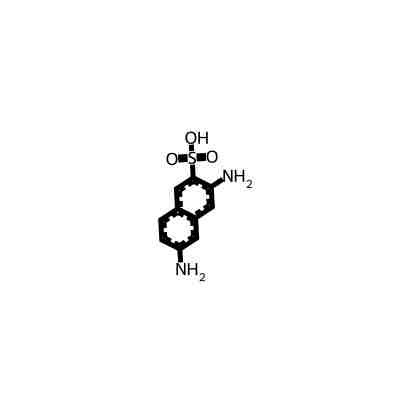 Nc1ccc2cc(S(=O)(=O)O)c(N)cc2c1